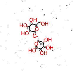 OC[C@H]1O[C@H](OC[C@H]2O[C@H](O)[C@H](O)[C@@H](O)[C@@H]2O)[C@H](O)[C@@H](O)[C@H]1O